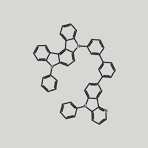 c1ccc(-n2c3ccc(-c4cccc(-c5cccc(-n6c7ccccc7c7c8c9ccccc9n(-c9ccccc9)c8ccc76)c5)c4)cc3c3ncccc32)cc1